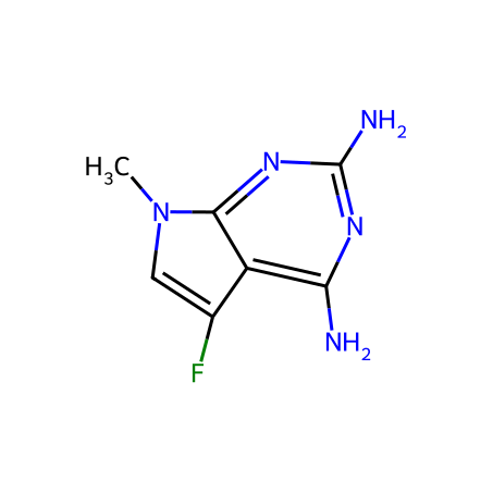 Cn1cc(F)c2c(N)nc(N)nc21